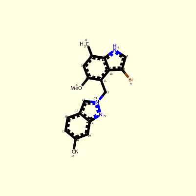 COc1cc(C)c2[nH]cc(Br)c2c1Cn1cc2ccc(C#N)cc2n1